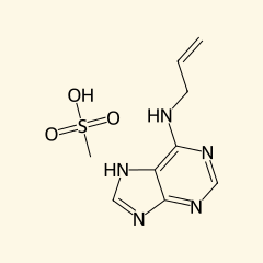 C=CCNc1ncnc2nc[nH]c12.CS(=O)(=O)O